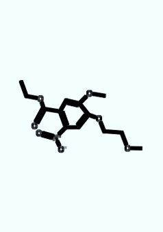 CCOC(=O)c1cc(OC)c(OCCOC)cc1[N+](=O)[O-]